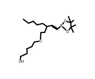 CCCCCC(/C=C/B1OC(C)(C)C(C)(C)O1)CCOCCCCCO